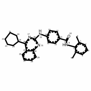 Cc1cccc(C)c1NC(=O)c1ccc(Nc2nc(C3CCCCC3)c3ccccc3n2)cc1